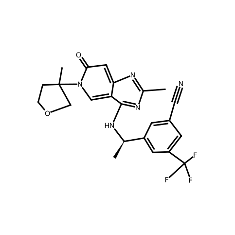 Cc1nc(N[C@H](C)c2cc(C#N)cc(C(F)(F)F)c2)c2cn(C3(C)CCOC3)c(=O)cc2n1